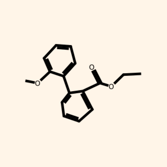 CCOC(=O)c1ccccc1-c1ccccc1OC